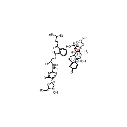 CCCCC(CC)COC(=O)c1ccccc1C(=O)OCC(CC)CCCC.CCC[C@@H]1O[C@@H]2C[C@H]3[C@@H]4CCC5=CC(=O)C=C[C@]5(C)[C@H]4[C@@H](O)C[C@]3(C)[C@]2(C(=O)CO)O1.Nc1ncn([C@H]2C[C@H](O)[C@@H](CO)O2)c(=O)n1